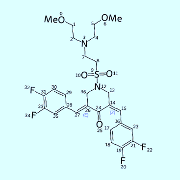 COCCN(CCOC)CCS(=O)(=O)N1C/C(=C/c2ccc(F)c(F)c2)C(=O)/C(=C/c2ccc(F)c(F)c2)C1